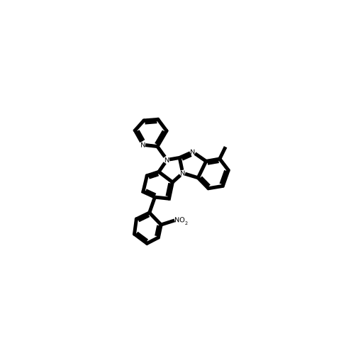 Cc1cccc2c1nc1n(-c3ccccn3)c3ccc(-c4ccccc4[N+](=O)[O-])cc3n21